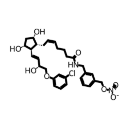 O=C(CCC/C=C\C[C@@H]1[C@@H](/C=C/[C@@H](O)COc2cccc(Cl)c2)[C@H](O)C[C@@H]1O)NCc1cccc(CO[N+](=O)[O-])c1